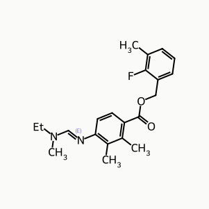 CCN(C)/C=N/c1ccc(C(=O)OCc2cccc(C)c2F)c(C)c1C